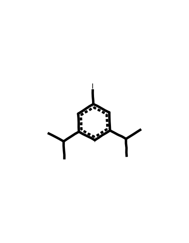 CC(C)c1[c]c(C(C)C)cc(I)c1